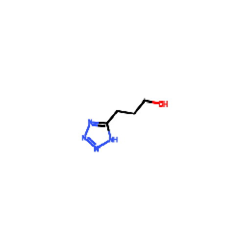 O[CH]CCc1nnn[nH]1